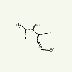 BC(C)[C@H](C(C)/C=C\CC)C(C)CC